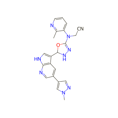 Cc1ncccc1N(CC#N)C1=NNC(c2c[nH]c3ncc(-c4cnn(C)c4)cc23)O1